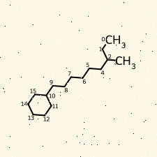 CCC(C)CCCCCCC1CCCCC1